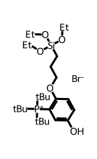 CCO[Si](CCCOc1ccc(O)cc1[P+](C(C)(C)C)(C(C)(C)C)C(C)(C)C)(OCC)OCC.[Br-]